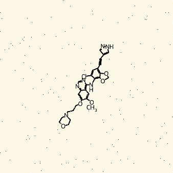 COc1cc2c(Nc3c(Cl)cc(C#Cc4cn[nH]c4)c4c3OCO4)ncnc2cc1OCCCN1CCOCC1